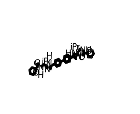 CC(C)[C@H](NC(=O)C1CCCCO1)c1ncc(-c2ccc(-c3ccc(-c4cnc([C@@H](NC(=O)C5CCCCO5)C(C)C)[nH]4)cc3)cc2)[nH]1